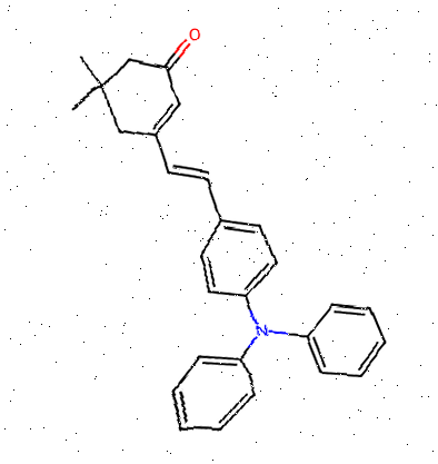 CC1(C)CC(=O)C=C(/C=C/c2ccc(N(c3ccccc3)c3ccccc3)cc2)C1